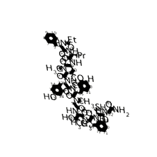 CCC(=O)N[C@@H](Cc1ccccc1)C(=O)N[C@H](C(=O)N[C@@H](CCC(=O)O)C(=O)N(C)CC(=O)N[C@@H](Cc1ccc(O)cc1)C(=O)N(C)[C@@H](Cc1ccccc1)C(=O)N(C)CC(=O)N[C@H](C(=O)N(C)[C@@H](Cc1ccccc1)C(=O)N[C@@H](CS)C(=O)NCC(N)=O)[C@@H](C)O)C(C)C